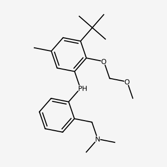 COCOc1c(Pc2ccccc2CN(C)C)cc(C)cc1C(C)(C)C